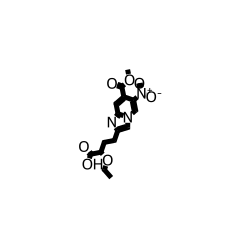 CCOC(CCc1cn2cc([N+](=O)[O-])c(C(=O)OC)cc2n1)C(=O)O